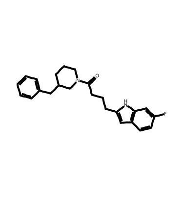 O=C(CCCc1cc2ccc(F)cc2[nH]1)N1CCCC(Cc2ccccc2)C1